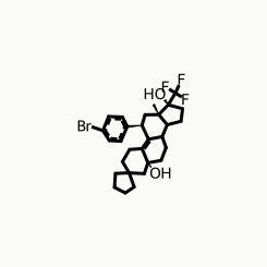 C[C@]12C[C@H](c3ccc(Br)cc3)C3=C4CCC5(CCCC5)C[C@]4(O)CCC3C1CC[C@@]2(O)C(F)(F)F